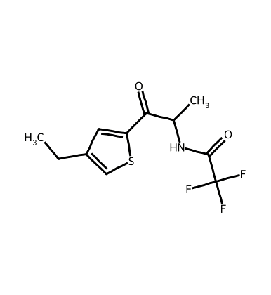 CCc1csc(C(=O)C(C)NC(=O)C(F)(F)F)c1